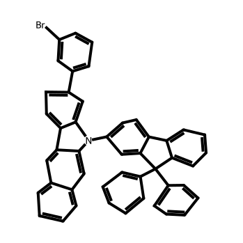 Brc1cccc(-c2ccc3c4cc5ccccc5cc4n(-c4ccc5c(c4)C(c4ccccc4)(c4ccccc4)c4ccccc4-5)c3c2)c1